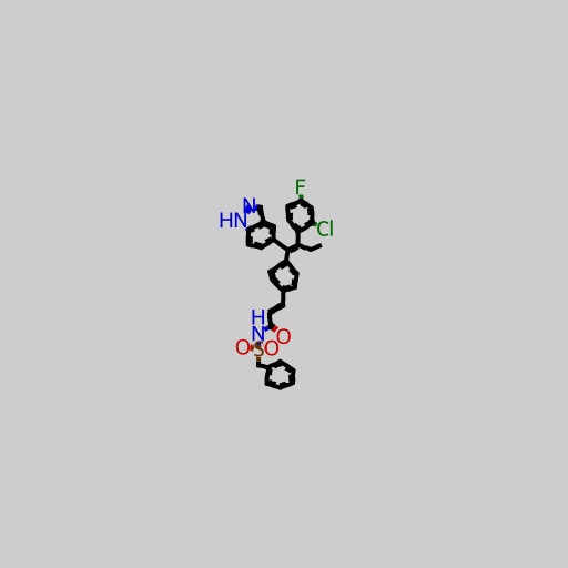 CCC(=C(c1ccc(C=CC(=O)NS(=O)(=O)Cc2ccccc2)cc1)c1ccc2[nH]ncc2c1)c1ccc(F)cc1Cl